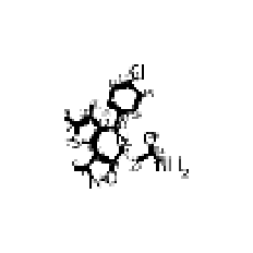 Cc1noc2c1-c1sc(C)c(C)c1C(c1ccc(Cl)cc1)=N[C@@H]2CC(N)=O